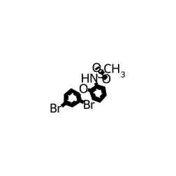 CS(=O)(=O)Nc1ccccc1Oc1ccc(Br)cc1Br